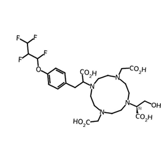 O=C(O)CN1CCN(C(Cc2ccc(OC(F)C(F)C(F)F)cc2)C(=O)O)CCN(CC(=O)O)CCN([C@@H](CO)C(=O)O)CC1